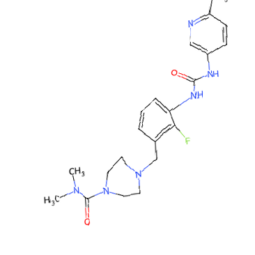 Cc1ccc(NC(=O)Nc2cccc(CN3CCN(C(=O)N(C)C)CC3)c2F)cn1